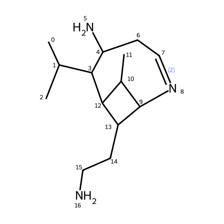 CC(C)C1C(N)C/C=N\C2C(C)C1C2CCN